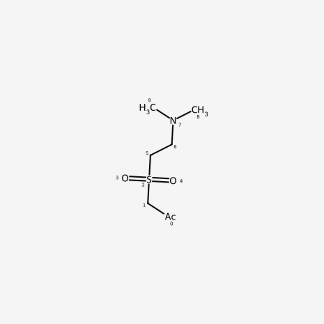 CC(=O)CS(=O)(=O)CCN(C)C